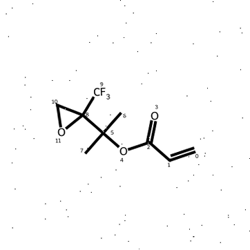 C=CC(=O)OC(C)(C)C1(C(F)(F)F)CO1